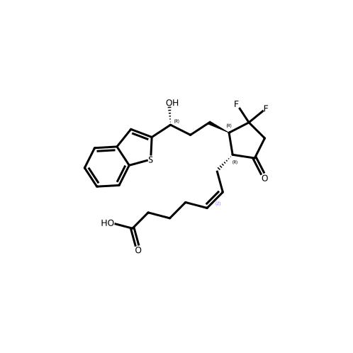 O=C(O)CCC/C=C\C[C@H]1C(=O)CC(F)(F)[C@@H]1CC[C@@H](O)c1cc2ccccc2s1